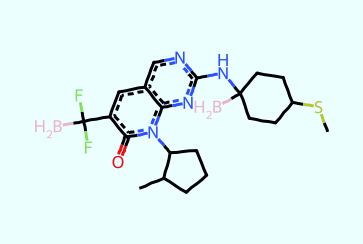 BC1(Nc2ncc3cc(C(B)(F)F)c(=O)n(C4CCCC4C)c3n2)CCC(SC)CC1